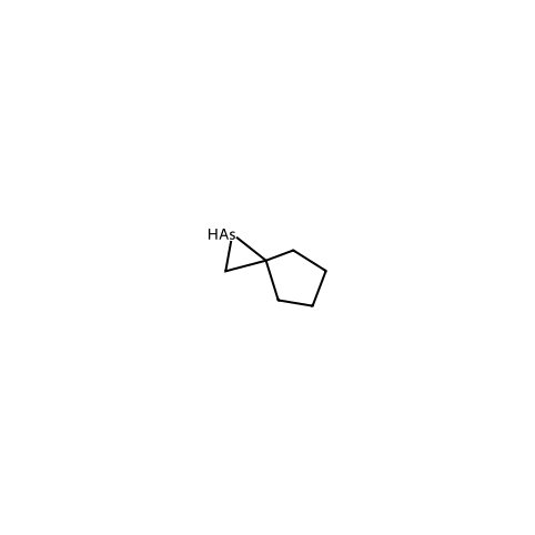 C1CCC2(C1)C[AsH]2